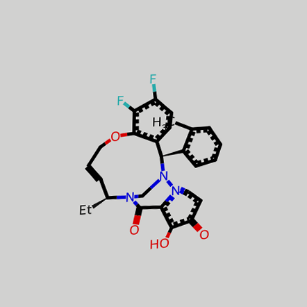 CC[C@H]1/C=C/COc2c(ccc(F)c2F)[C@@H](c2ccccc2C)N2CN1C(=O)c1c(O)c(=O)ccn12